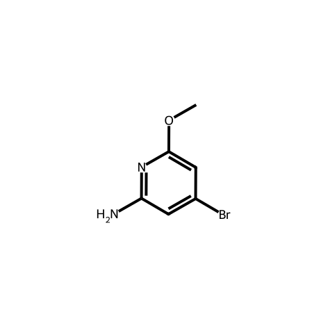 COc1cc(Br)cc(N)n1